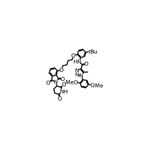 COc1ccc(OC)c(-n2nnc(C(=O)Nc3cc(C(C)(C)C)ccc3OCCCCOc3cccc4c3C(=O)N(C3CCC(=O)NC3=O)C4=O)c2C)c1